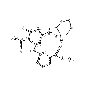 CNC(=O)c1cccc(Nc2nc(NCC3(N)CCCCC3)[nH]c(=O)c2C(N)=O)c1